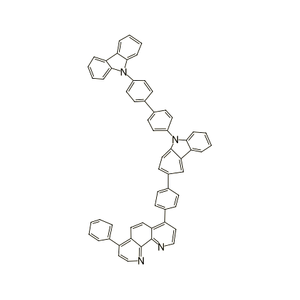 c1ccc(-c2ccnc3c2ccc2c(-c4ccc(-c5ccc6c(c5)c5ccccc5n6-c5ccc(-c6ccc(-n7c8ccccc8c8ccccc87)cc6)cc5)cc4)ccnc23)cc1